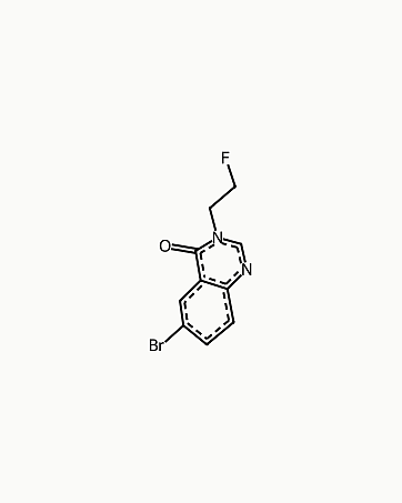 O=c1c2cc(Br)ccc2ncn1CCF